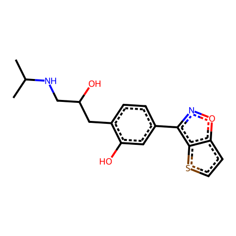 CC(C)NCC(O)Cc1ccc(-c2noc3ccsc23)cc1O